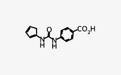 O=C(NC1=CC=CC1)Nc1ccc(C(=O)O)cc1